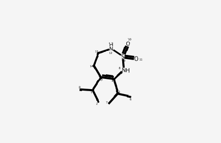 CC(C)C1=C(C(C)C)NS(=O)(=O)NCC1